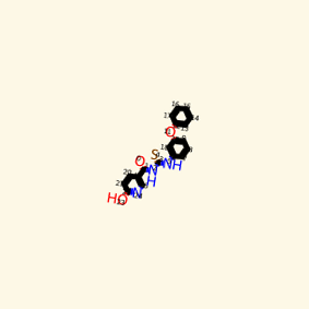 O=C(NC(=S)Nc1cccc(Oc2ccccc2)c1)c1ccc(O)nc1